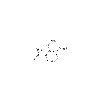 CCCCCc1cccc(C(N)=O)c1ON